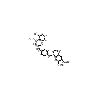 COc1cc2nccc(Oc3ccc(NC(=O)NN(C=O)c4ccccc4Br)cc3)c2cc1OC